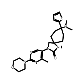 Cc1nc(N2CCOCC2)ncc1N1CC2(CCC(c3cccs3)(N(C)C)CC2)NC1=O